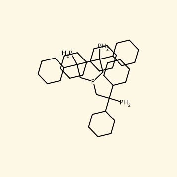 PC(CP(CC(P)(C1CCCCC1)C1CCCCC1)CC(P)(C1CCCCC1)C1CCCCC1)(C1CCCCC1)C1CCCCC1